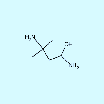 CC(C)(N)CC(N)O